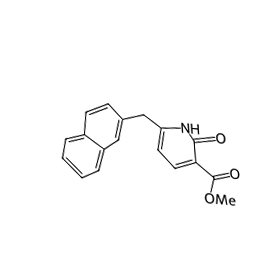 COC(=O)c1ccc(Cc2ccc3ccccc3c2)[nH]c1=O